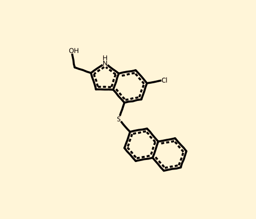 OCc1cc2c(Sc3ccc4ccccc4c3)cc(Cl)cc2[nH]1